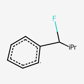 CC(C)C(F)c1[c]cccc1